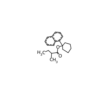 CCC(C)C(=O)OC1(c2cccc3ccccc23)CCCCC1